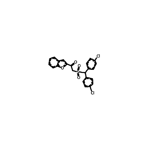 O=C(CS(=O)(=O)C(c1ccc(Cl)cc1)c1ccc(Cl)cc1)c1cc2ccccc2o1